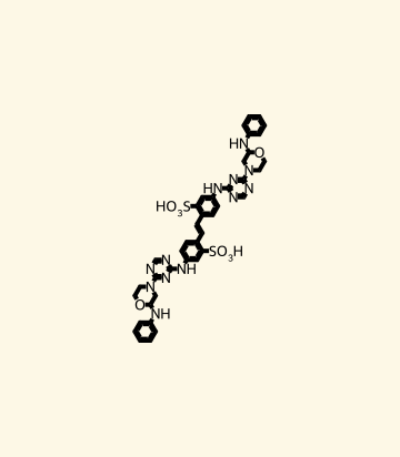 O=S(=O)(O)c1cc(Nc2ncnc(N3CCOC(Nc4ccccc4)C3)n2)ccc1C=Cc1ccc(Nc2ncnc(N3CCOC(Nc4ccccc4)C3)n2)cc1S(=O)(=O)O